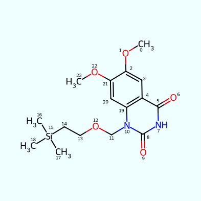 COc1cc2c(=O)[nH]c(=O)n(COCC[Si](C)(C)C)c2cc1OC